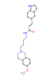 O=C(C=Cc1ccc2[nH]ccc2c1)NCCCCN1CCc2cc(OC(F)(F)F)ccc2C1